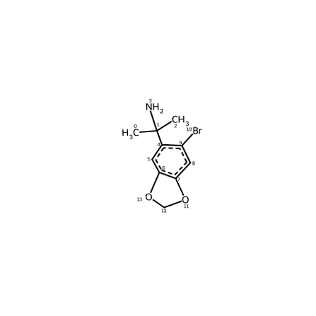 CC(C)(N)c1cc2c(cc1Br)OCO2